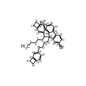 CCCCCC(c1ccc2c(c1)CC2)C1(CCCCc2ccc3c(c2)CC3)c2cc(Br)ccc2-c2ccc(Br)cc21